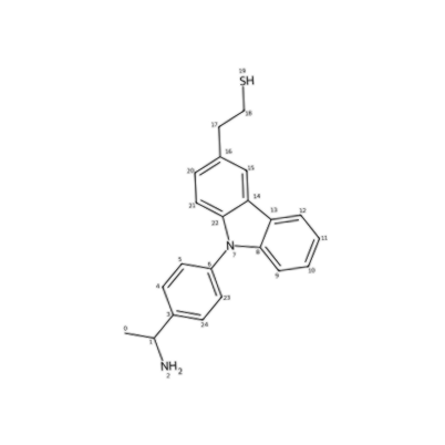 CC(N)c1ccc(-n2c3ccccc3c3cc(CCS)ccc32)cc1